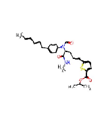 CCCCCCc1ccc(N(C=O)C(CCCc2ccc(C(=O)OC(C)C)s2)C(=O)NC)cc1